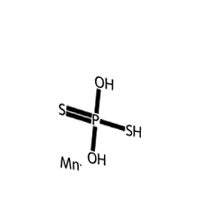 OP(O)(=S)S.[Mn]